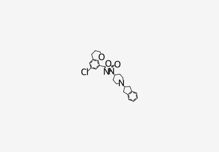 O=c1oc(-c2cc(Cl)cc3c2OCCC3)nn1C1CCN(C2Cc3ccccc3C2)CC1